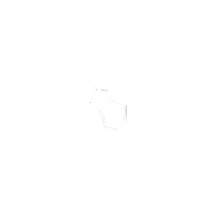 CC1=CC2=CCC=CC2=C1C